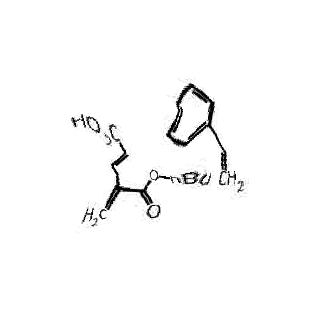 C=C(C=CC(=O)O)C(=O)OCCCC.C=Cc1ccccc1